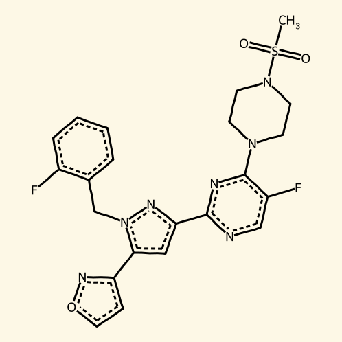 CS(=O)(=O)N1CCN(c2nc(-c3cc(-c4ccon4)n(Cc4ccccc4F)n3)ncc2F)CC1